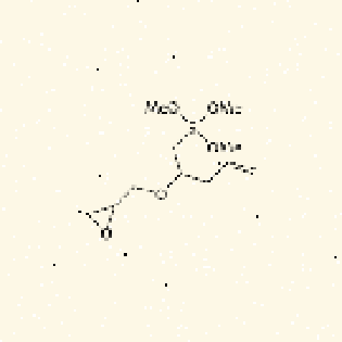 C=CCC(C[Si](OC)(OC)OC)OCC1CO1